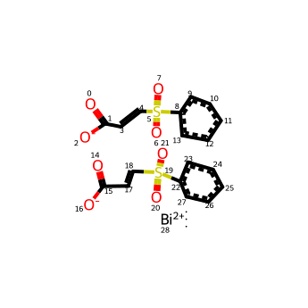 O=C([O-])/C=C/S(=O)(=O)c1ccccc1.O=C([O-])/C=C/S(=O)(=O)c1ccccc1.[Bi+2]